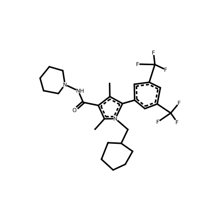 Cc1c(C(=O)NN2CCCCC2)c(C)n(CC2CCCCC2)c1-c1cc(C(F)(F)F)cc(C(F)(F)F)c1